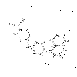 CC(C)C(=O)N1CCC(Sc2ccc(-c3cncc4ccccc34)cc2)CC1